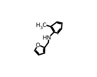 Cc1ccc[c]c1NCc1ccco1